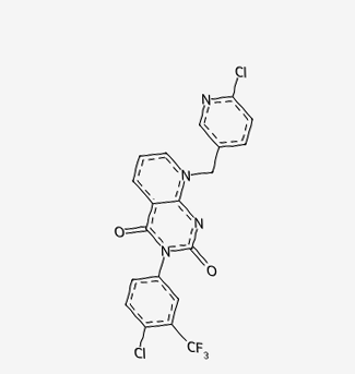 O=c1nc2n(Cc3ccc(Cl)nc3)cccc-2c(=O)n1-c1ccc(Cl)c(C(F)(F)F)c1